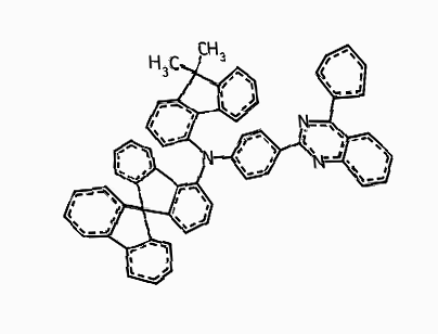 CC1(C)c2ccccc2-c2c(N(c3ccc(-c4nc(-c5ccccc5)c5ccccc5n4)cc3)c3cccc4c3-c3ccccc3C43c4ccccc4-c4ccccc43)cccc21